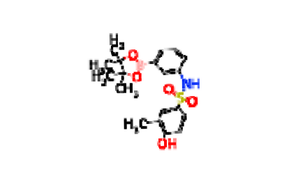 Cc1cc(S(=O)(=O)Nc2cccc(B3OC(C)(C)C(C)(C)O3)c2)ccc1O